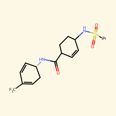 CC(C)S(=O)(=O)NC1C=CC(C(=O)N[C@H]2C=CC(C(F)(F)F)=CC2)CC1